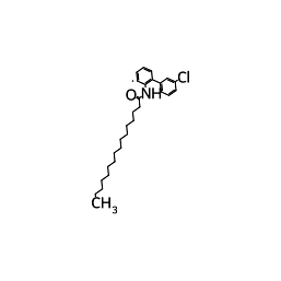 CCCCCCCCCCCCCCCC(=O)Nc1[c]cccc1-c1cccc(Cl)c1